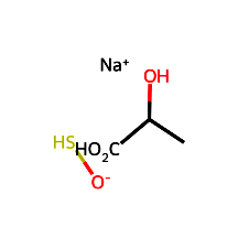 CC(O)C(=O)O.[Na+].[O-]S